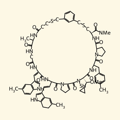 CNC(=O)[C@@H]1CSCc2cccc(c2)CSCCC(=O)NC(C)C(=O)NCC(=O)N/C(=C/c2c[nH]c3ccc(C)cc23)C(=O)NC(C=Cc2c[nH]c3c2C=C(C)CC3)C(=O)N2CCC=C2C(=O)N(S)[C@@H](C(OC)C2CC2)C(=O)NC(Cc2ccc(C)cc2)C(=O)N2CCCC2C(=O)N1